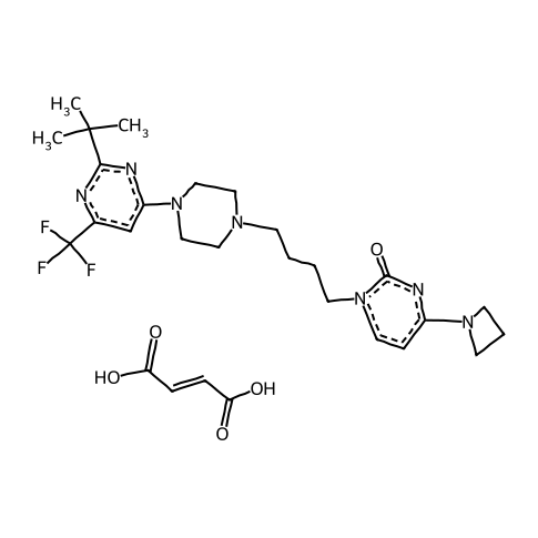 CC(C)(C)c1nc(N2CCN(CCCCn3ccc(N4CCC4)nc3=O)CC2)cc(C(F)(F)F)n1.O=C(O)C=CC(=O)O